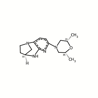 C[C@@H]1CN(c2ccc3c(n2)N[C@H]2CCN3C2)C[C@H](C)O1